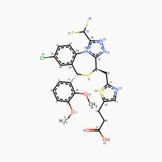 COc1cccc([C@H]2S[C@H](Cc3ncc(CCC(=O)O)s3)c3nnc(C(F)F)n3-c3ccc(Cl)cc32)c1OC